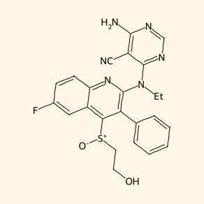 CCN(c1ncnc(N)c1C#N)c1nc2ccc(F)cc2c([S+]([O-])CCO)c1-c1ccccc1